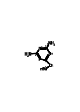 CCCCOc1cc(N)nc(N)n1